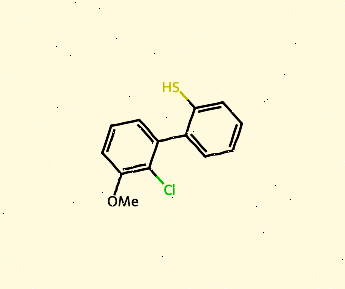 COc1cccc(-c2ccccc2S)c1Cl